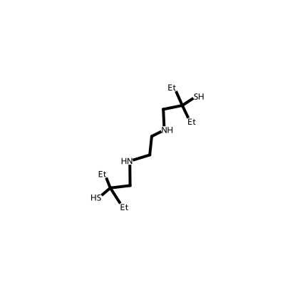 CCC(S)(CC)CNCCNCC(S)(CC)CC